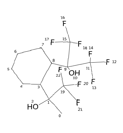 CC(O)(C1CCCCC1C(O)(C(F)(F)F)C(F)(F)F)C(F)(F)F